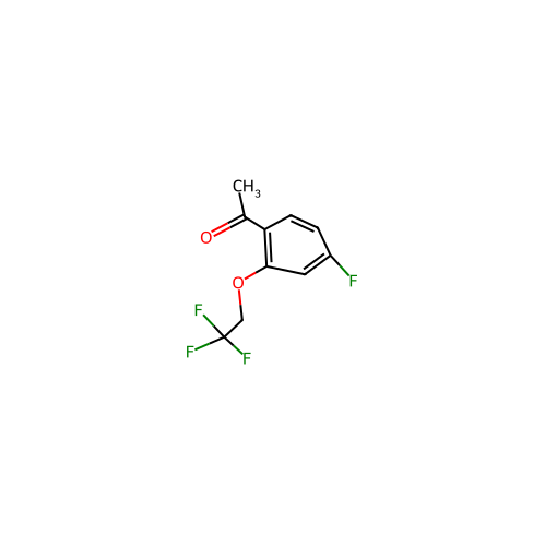 CC(=O)c1ccc(F)cc1OCC(F)(F)F